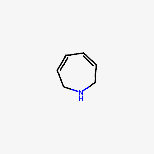 C1=CCNCC=C1